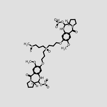 COc1cc2c(cc1OCCCP(=O)(CCCOc1cc3c(cc1OC)C(=O)N1CCC[C@H]1C(O[SH](=O)=O)N3)CCCS(C)=S)NC(O[SH](=O)=O)[C@@H]1CCCN1C2=O